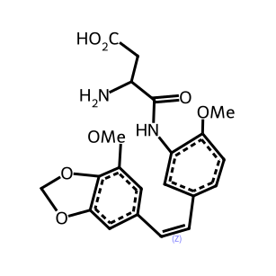 COc1ccc(/C=C\c2cc(OC)c3c(c2)OCO3)cc1NC(=O)C(N)CC(=O)O